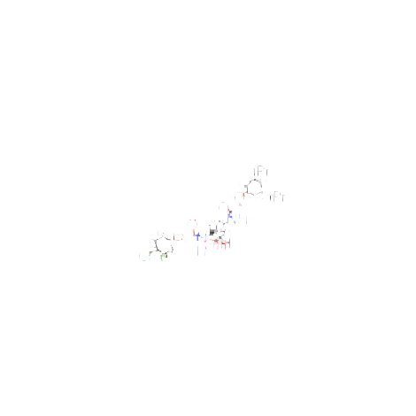 CC(C)c1cc(OCC(=O)NC23CCC(NC(=O)COc4ccc(Cl)c(F)c4)(CC2)[C@@H](O)C3)cc(C(C)C)c1